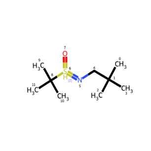 CC(C)(C)C/N=[SH](=O)/C(C)(C)C